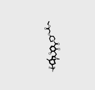 CCOC(=O)COC1CCN(C(=O)c2ccc(Cl)c(Cc3cc4c(C)cc(C(F)(F)F)cc4n3C)c2Cl)CC1